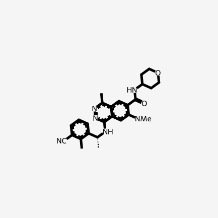 CNc1cc2c(N[C@H](C)c3cccc(C#N)c3C)nnc(C)c2cc1C(=O)NC1CCOCC1